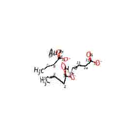 CCCC(=O)[O-].CCCC(=O)[O-].CCCC(=O)[O-].[Au+3]